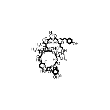 CC(C)C[C@@H]1NC(=O)[C@@H](NC(=O)[C@@H](NC(=O)[C@H](C)NC(=O)[C@H](CCCc2ccc(O)cc2)NC(=O)[C@H](O)CO)C(C)C)[C@@H](C)OC(=O)[C@H](C(C)C)NC(=O)[C@H](Cc2ccc(O)c(Br)c2)N(C)C(=O)[C@H]([C@@H](C)O)N2C(=O)[C@H](CC[C@H]2O)NC1=O